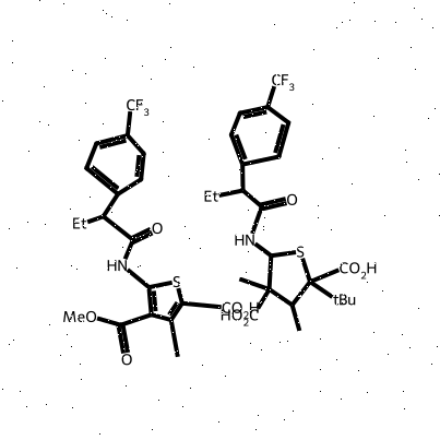 CCC(C(=O)NC1SC(C(=O)O)(C(C)(C)C)C(C)C1(C)C(=O)O)c1ccc(C(F)(F)F)cc1.CCC(C(=O)Nc1sc(C(=O)O)c(C)c1C(=O)OC)c1ccc(C(F)(F)F)cc1